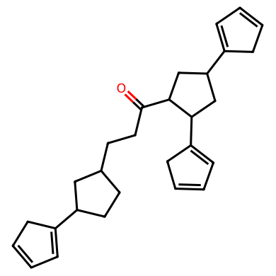 O=C(CCC1CCC(C2=CC=CC2)C1)C1CC(C2=CC=CC2)CC1C1=CC=CC1